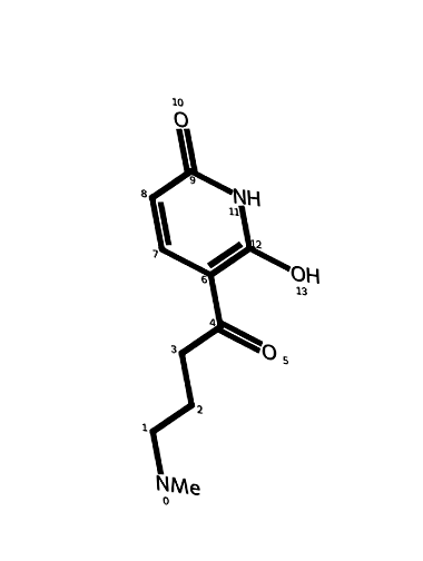 CNCCCC(=O)c1ccc(=O)[nH]c1O